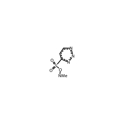 CNOS(=O)(=O)c1ccnnn1